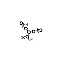 N#Cc1cc(C#N)cc(-c2cc(-c3ccc(-c4nc5ccccc5s4)cc3)cc(-c3ccc(C4Nc5ccccc5S4)cc3)c2)c1